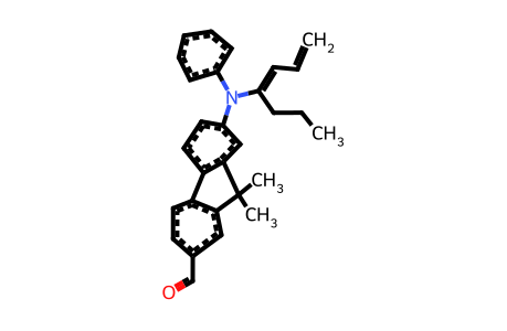 C=C/C=C(\CCC)N(c1ccccc1)c1ccc2c(c1)C(C)(C)c1cc(C=O)ccc1-2